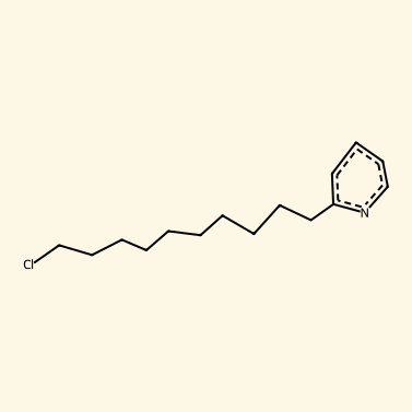 ClCCCCCCCCCCc1ccccn1